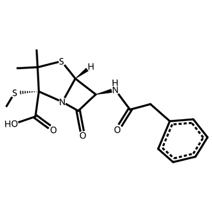 CS[C@@]1(C(=O)O)N2C(=O)[C@H](NC(=O)Cc3ccccc3)[C@H]2SC1(C)C